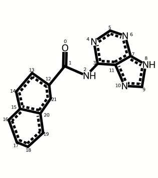 O=C(Nc1ncnc2[nH]cnc12)c1ccc2ccccc2c1